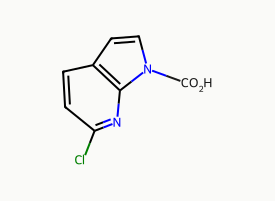 O=C(O)n1ccc2ccc(Cl)nc21